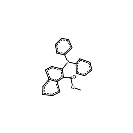 COC(=O)c1c(P(c2ccccc2)c2ccccc2)ccc2ccccc12